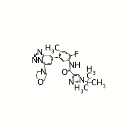 Cc1cc(F)c(NC(=O)c2cn(C(C)(C)C)cn2)cc1-c1cc(N2CCOCC2)n2ncnc2c1